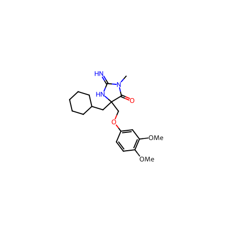 COc1ccc(OCC2(CC3CCCCC3)NC(=N)N(C)C2=O)cc1OC